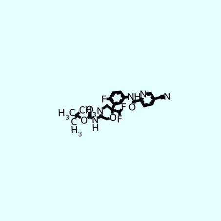 CC(C)(C)OC(=O)NC1=NCC(c2cc(NC(=O)c3ccc(C#N)cn3)ccc2F)(C(F)F)OC1